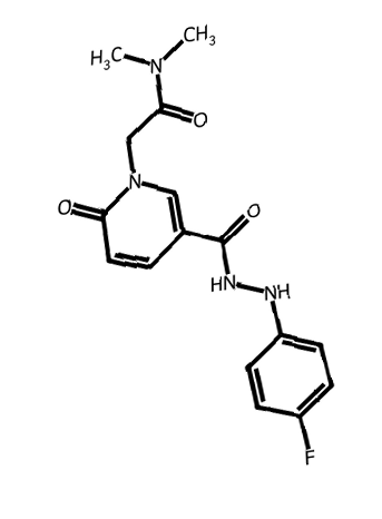 CN(C)C(=O)Cn1cc(C(=O)NNc2ccc(F)cc2)ccc1=O